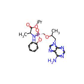 CC(C)OC(=O)C(C)N[P@](=O)(COC(C)Cn1cnc2c(N)ncnc21)Oc1ccccc1